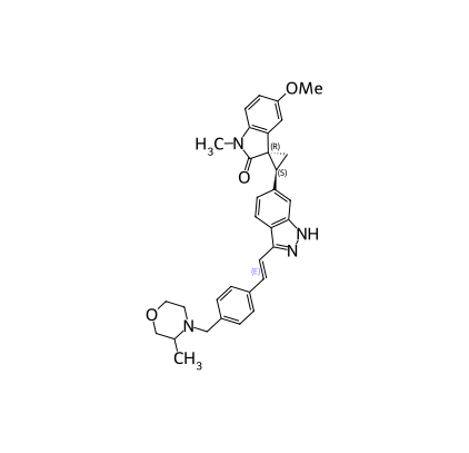 COc1ccc2c(c1)[C@]1(C[C@H]1c1ccc3c(/C=C/c4ccc(CN5CCOCC5C)cc4)n[nH]c3c1)C(=O)N2C